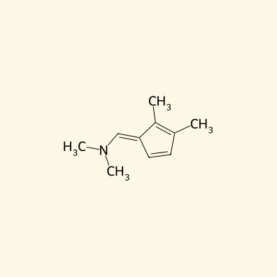 CC1=C(C)C(=CN(C)C)C=C1